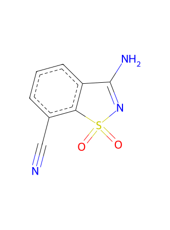 N#Cc1cccc2c1S(=O)(=O)N=C2N